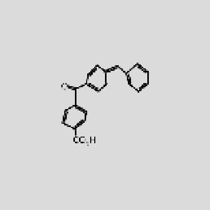 O=C(O)c1ccc(C(=O)C2=CCC(=Cc3ccccc3)C=C2)cc1